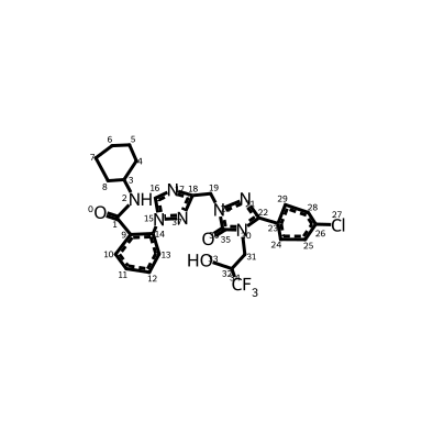 O=C(NC1CCCCC1)c1ccccc1-n1cnc(Cn2nc(-c3ccc(Cl)cc3)n(CC(O)C(F)(F)F)c2=O)n1